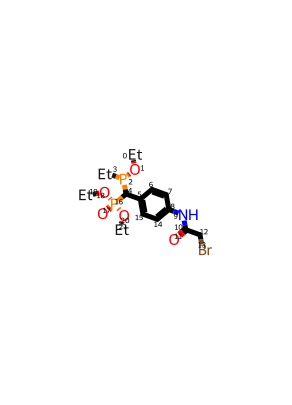 CCOP(CC)C(c1ccc(NC(=O)CBr)cc1)P(=O)(OCC)OCC